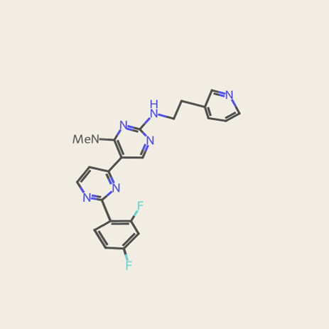 CNc1nc(NCCc2cccnc2)ncc1-c1ccnc(-c2ccc(F)cc2F)n1